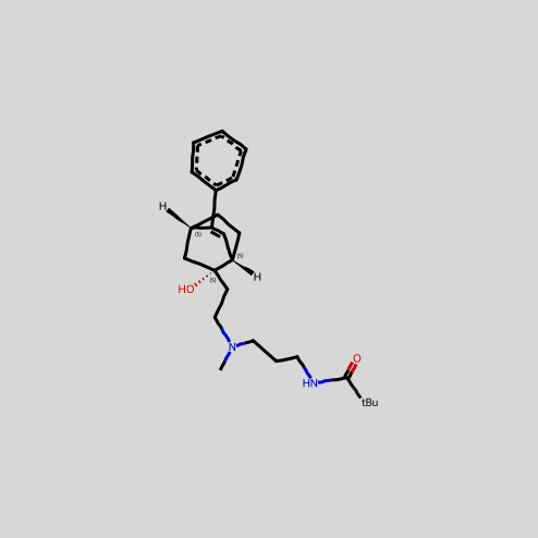 CN(CCCNC(=O)C(C)(C)C)CC[C@@]1(O)C[C@@H]2CC[C@H]1C=C2c1ccccc1